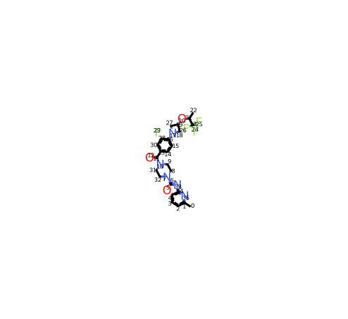 Cc1ccc2oc(N3CCN(C(=O)c4ccc(N5CC(OC(C)C(F)(F)F)C5)c(F)c4)CC3)nc2n1